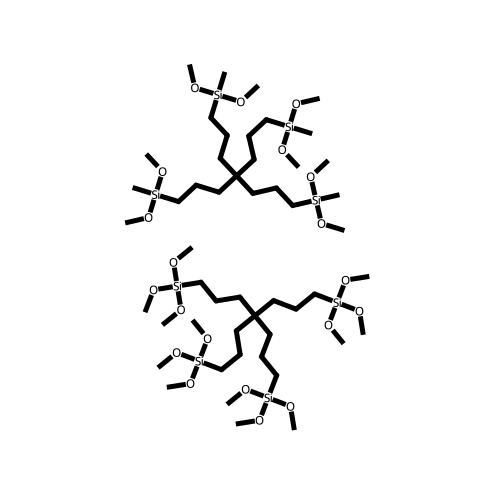 CO[Si](C)(CCCC(CCC[Si](C)(OC)OC)(CCC[Si](C)(OC)OC)CCC[Si](C)(OC)OC)OC.CO[Si](CCCC(CCC[Si](OC)(OC)OC)(CCC[Si](OC)(OC)OC)CCC[Si](OC)(OC)OC)(OC)OC